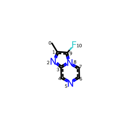 Cc1nc2cnccn2c1F